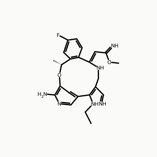 CCN/C1=C(\C=N)CN/C(=C\C(=N)OC)c2ccc(F)cc2[C@@H](C)Oc2cc1cnc2N